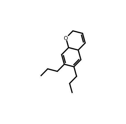 CCCC1=CC2C=CCOC2C=C1CCC